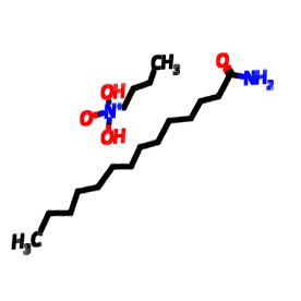 CCCCCCCCCCCCCC(N)=O.CCCC[N+]([O-])(O)O